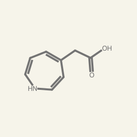 O=C(O)CC1=CC=CNC=C1